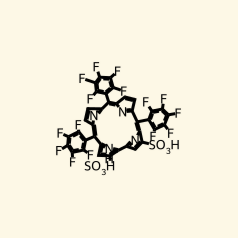 O=S(=O)(O)C1=CC2=NC1=C(c1c(F)c(F)c(F)c(F)c1F)C1=NC(=C(c3c(F)c(F)c(F)c(F)c3F)C3=NC(=C(c4c(F)c(F)c(F)c(F)c4F)c4cc(S(=O)(=O)O)c2[nH]4)C=C3)C=C1